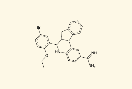 CCOc1ccc(Br)cc1C1Nc2ccc(C(=N)N)cc2C2c3ccccc3CC12